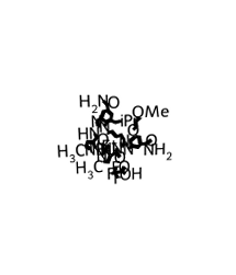 CCn1nc(C)cc1C(=O)Nc1nc2cc(C(N)=O)cc(CC(C)C)c2n1C/C=C/Cn1c(NC(=O)c2cc(C)nn2CC)nc2cc(C(N)=O)cc(OCCCOC)c21.O=C(O)C(F)(F)F